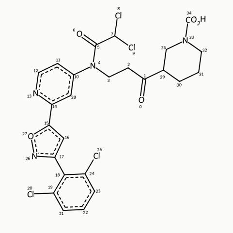 O=C(CCN(C(=O)C(Cl)Cl)c1ccnc(-c2cc(-c3c(Cl)cccc3Cl)no2)c1)C1CCCN(C(=O)O)C1